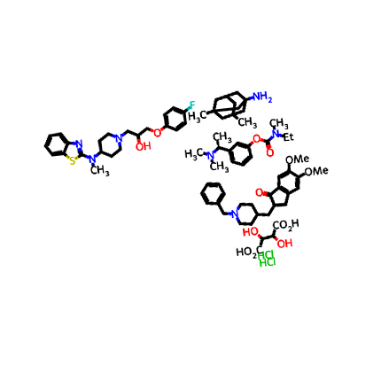 CC12CC3CC(C)(C1)CC(N)(C3)C2.CCN(C)C(=O)Oc1cccc([C@H](C)N(C)C)c1.CN(c1nc2ccccc2s1)C1CCN(CC(O)COc2ccc(F)cc2)CC1.COc1cc2c(cc1OC)C(=O)C(CC1CCN(Cc3ccccc3)CC1)C2.Cl.Cl.O=C(O)C(O)C(O)C(=O)O